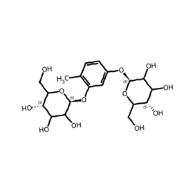 Cc1ccc(O[C@@H]2OC(CO)[C@@H](O)C(O)C2O)cc1O[C@@H]1OC(CO)[C@@H](O)C(O)C1O